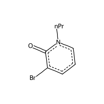 CCCn1cccc(Br)c1=O